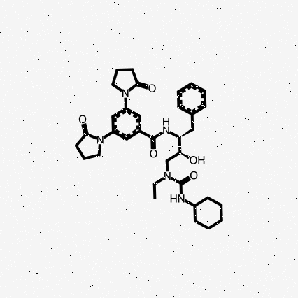 CCN(C[C@H](O)[C@H](Cc1ccccc1)NC(=O)c1cc(N2CCCC2=O)cc(N2CCCC2=O)c1)C(=O)NC1CCCCC1